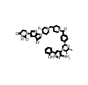 CCc1cn([C@H]2CCN(CC3CCN(C(=O)c4ccc([C@@H]5CN(c6cc(-c7ccccc7O)nnc6N)[C@H](C)[C@H](C)O5)cc4)CC3)C[C@H]2F)c2ncc(N3CCC(=O)NC3=O)cc12